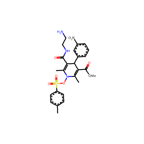 COC(=O)C1=C(C)N(OS(=O)(=O)c2ccc(C)cc2)C(C)=C(C(=O)NCCN)C1c1cccc([N+](=O)[O-])c1